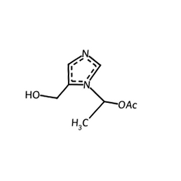 CC(=O)OC(C)n1cncc1CO